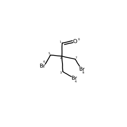 O=CC(CBr)(CBr)CBr